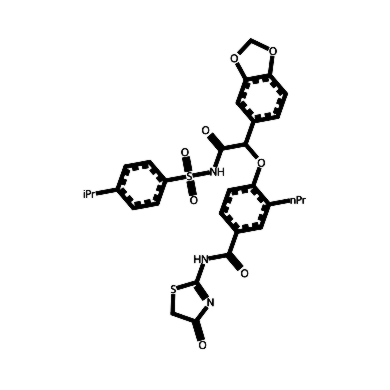 CCCc1cc(C(=O)NC2=NC(=O)CS2)ccc1OC(C(=O)NS(=O)(=O)c1ccc(C(C)C)cc1)c1ccc2c(c1)OCO2